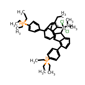 CCC1=Cc2c(-c3ccc([PH](CC)(CC)CC)cc3)cccc2[CH]1[Zr]([Cl])([Cl])([CH]1C(CC)=Cc2c(-c3ccc([PH](CC)(CC)CC)cc3)cccc21)[SiH](C)C